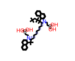 CC(C)(C)CC(C)(C)C1(C)\C(=C/C=C/C=C/C=C/C2=[N+](CCB(O)O)c3ccc4ccccc4c3C2(C)C)N(CCB(O)O)c2ccc3ccccc3c21